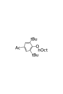 CCCCCCCCOc1c(C(C)(C)C)cc(C(C)=O)cc1C(C)(C)C